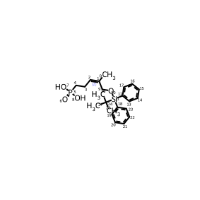 C/C(=C/CCP(=O)(O)O)CO[Si](c1ccccc1)(c1ccccc1)C(C)(C)C